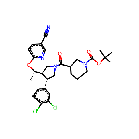 C[C@H](Oc1ccc(C#N)cn1)[C@H]1CN(C(=O)C2CCCN(C(=O)OC(C)(C)C)C2)C[C@@H]1c1ccc(Cl)c(Cl)c1